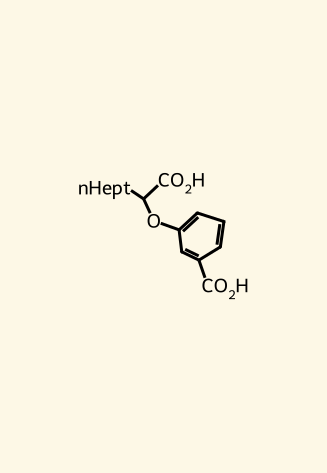 CCCCCCCC(Oc1cccc(C(=O)O)c1)C(=O)O